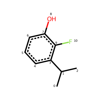 C[C](C)c1cccc(O)c1F